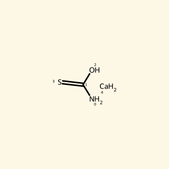 NC(O)=S.[CaH2]